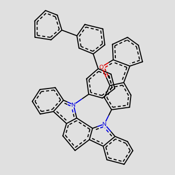 c1ccc(-c2cccc(-c3cccc(-n4c5ccccc5c5ccc6c7ccccc7n(-c7ccc8c(c7)oc7ccccc78)c6c54)c3)c2)cc1